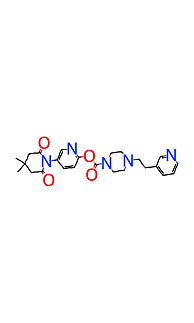 CC1(C)CC(=O)N(c2ccc(OC(=O)N3CCN(CCc4cccnc4)CC3)nc2)C(=O)C1